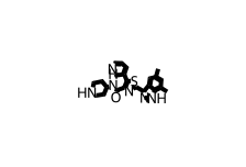 Cc1cc(C)c2[nH]nc(-c3nc(C(=O)NC4CCNCC4)c(-c4cccnc4)s3)c2c1